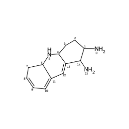 NC1CCC2NC3CC=CC=C3C=C2C1N